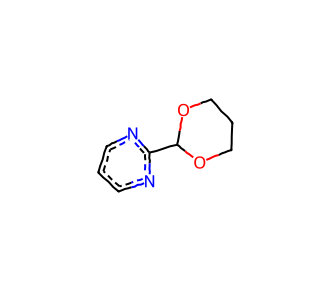 c1cnc(C2OCCCO2)nc1